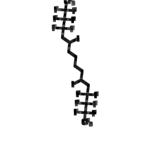 FC(F)(F)C(F)(F)C(F)(F)C(F)(F)CC(I)CCCCC(I)CC(F)(F)C(F)(F)C(F)(F)C(F)(F)F